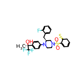 C[C@](O)(c1ccc(N2CCN(S(=O)(=O)C3=CC=CCC3=S)C[C@@H]2Cc2ccccc2F)cc1)C(F)(F)F